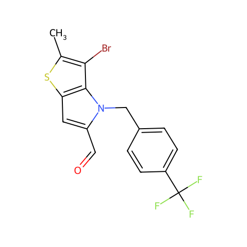 Cc1sc2cc(C=O)n(Cc3ccc(C(F)(F)F)cc3)c2c1Br